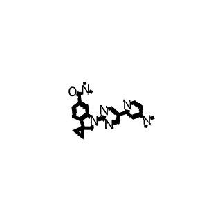 CN(C)C(=O)c1ccc2c(c1)N(c1ncc(-c3cc(N(C)C)ccn3)cn1)CC21CC1